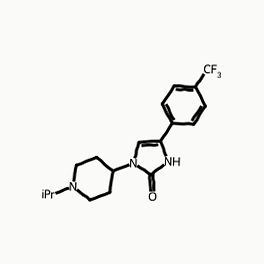 CC(C)N1CCC(n2cc(-c3ccc(C(F)(F)F)cc3)[nH]c2=O)CC1